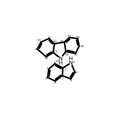 c1ccc2[nH]ccc2c1.c1ccc2c(c1)[nH]c1ccccc12